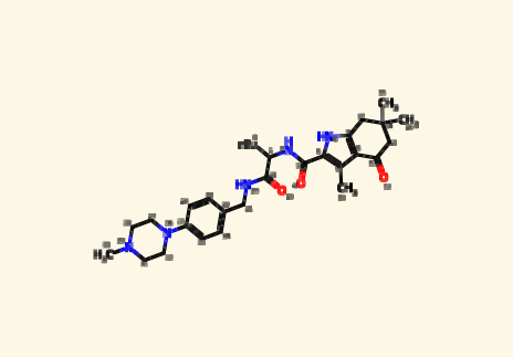 CCCCC(NC(=O)c1[nH]c2c(c1C)C(=O)CC(C)(C)C2)C(=O)NCc1ccc(N2CCN(C)CC2)cc1